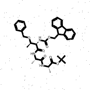 C[C@H](NC(=O)[C@@H](NC(=O)OCC1c2ccccc2-c2ccccc21)[C@@H](C)OCc1ccccc1)C(=O)N[C@@H](C)C(=O)OC(C)(C)C